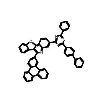 c1ccc(-c2ccc(-c3nc(-c4ccccc4)nc(-c4ccc5c(c4)nc(-c4ccc6c7ccccc7c7ccccc7c6c4)c4c6ccccc6oc54)n3)cc2)cc1